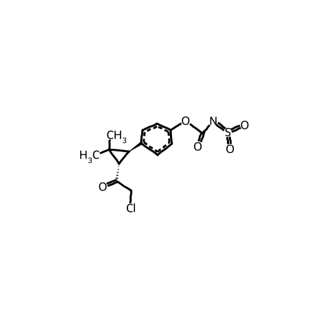 CC1(C)[C@@H](C(=O)CCl)[C@@H]1c1ccc(OC(=O)N=S(=O)=O)cc1